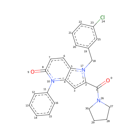 O=C(c1cc2c(ccc(=O)n2-c2ccccc2)n1Cc1cccc(Cl)c1)N1CCCC1